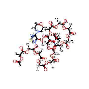 CC(=O)O[C@@H](C)C(=O)O[C@@H](C)C(=O)O[C@@H](C)C(=O)O[C@@H](C)C(=O)O[C@@H](C)C(=O)O[C@@H](C)C(=O)O[C@H](COc1nsnc1N1CCOCC1)CN(C(=O)[C@H](C)OC(=O)[C@H](C)OC(=O)[C@H](C)OC(=O)[C@H](C)OC(=O)[C@H](C)OC(=O)[C@H](C)OC(C)=O)C(C)(C)C